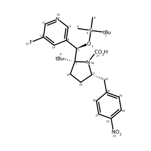 CC(C)(C)[C@@]1([C@H](O[Si](C)(C)C(C)(C)C)c2cncc(F)c2)CC[C@@H](Cc2ccc([N+](=O)[O-])cc2)N1C(=O)O